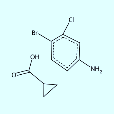 Nc1ccc(Br)c(Cl)c1.O=C(O)C1CC1